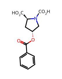 O=C(O[C@@H]1C[C@@H](C(=O)O)N(C(=O)O)C1)c1ccccc1